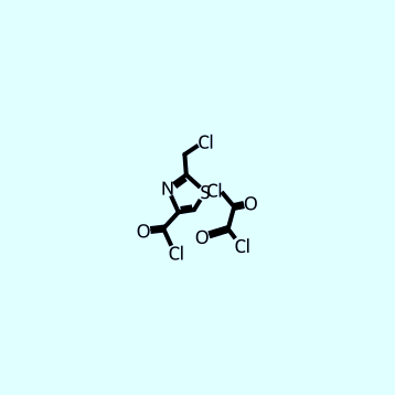 O=C(Cl)C(=O)Cl.O=C(Cl)c1csc(CCl)n1